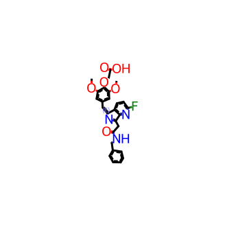 COc1cc(/C=C2/N=C(CC(=O)NCc3ccccc3)c3nc(F)ccc32)cc(OC)c1OCC(=O)O